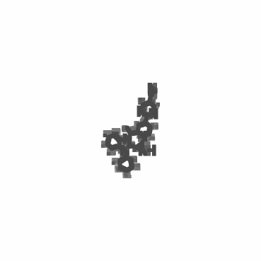 CC1=C2C=C(c3ncc(C#N)cn3)C=CN2C2NC2C2N1c1ccccc1N2c1ccccc1